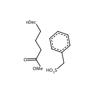 CCCCCCCCCCCCCC(=O)OC.O=S(=O)(O)Cc1ccccc1